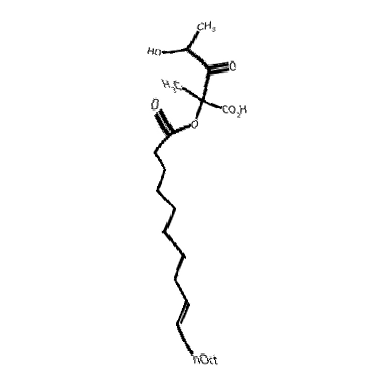 CCCCCCCCC=CCCCCCCCC(=O)OC(C)(C(=O)O)C(=O)C(C)O